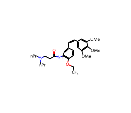 CCCN(CCC)CCC(=O)Nc1cc(/C=C\c2cc(OC)c(OC)c(OC)c2)ccc1OCC(F)(F)F